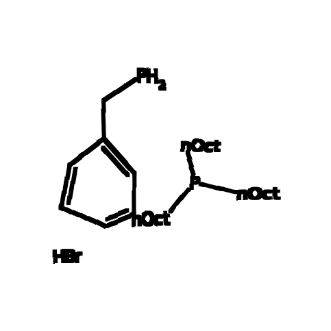 Br.CCCCCCCCP(CCCCCCCC)CCCCCCCC.PCc1ccccc1